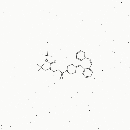 CC(C)(C)CN(CCC(=O)N1CCC(=C2c3ccccc3C=Cc3ccccc32)CC1)C(=O)OC(C)(C)C